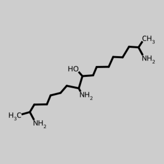 CC(N)CCCCCCC(O)C(N)CCCCCC(C)N